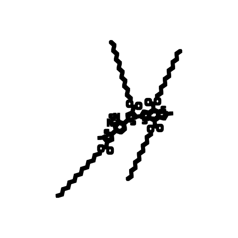 CCCCCCCCCCCCCCOC(=O)c1cc(-c2ccc(-c3cc(C(=O)OCCCCCCCCCCCCCC)c(-c4cc5c(C(=O)OCCCCCCCCCCCC)c6sc(C)cc6c(C(=O)OCCCCCCCCCCCC)c5s4)s3)c3nsnc23)sc1C